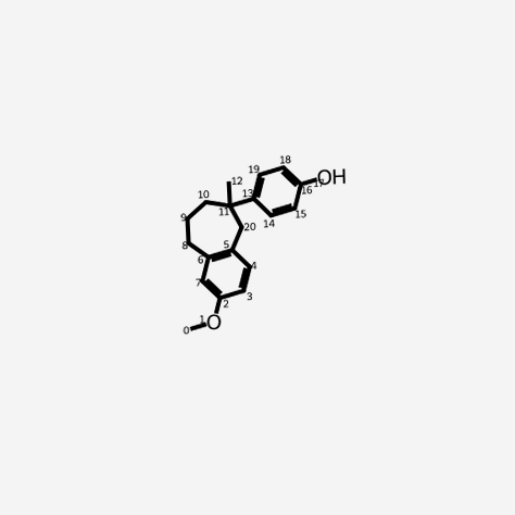 COc1ccc2c(c1)CCCC(C)(c1ccc(O)cc1)C2